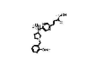 COc1ccccc1CN1CC[C@@H](Nc2cnc(/C=C/C(=O)NO)cn2)C1.Cl.Cl